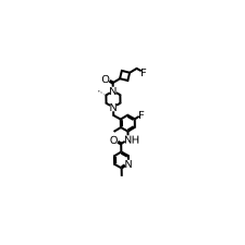 Cc1ccc(C(=O)Nc2cc(F)cc(CN3CCN(C(=O)C4CC(CF)C4)[C@@H](C)C3)c2C)cn1